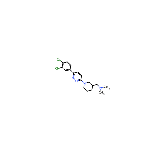 CN(C)CC1CCCN(c2ccc(-c3ccc(Cl)c(Cl)c3)nn2)C1